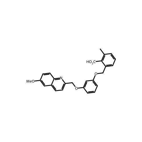 COc1ccc2nc(COc3cccc(OCc4cccc(C)c4C(=O)O)c3)ccc2c1